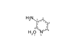 Nc1cccnc1.O